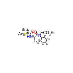 CCOC(=O)CN1C(=O)C(NC(=O)[C@@H](SC(C)=O)[C@@H](C)CC)CCc2ccccc21